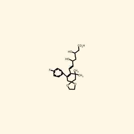 CC1(C)CC2(CC(c3ccc(F)cc3)=C1/C=C/C(O)CC(O)CC(=O)O)OCCO2